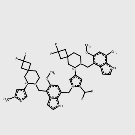 COc1cc(C)c2[nH]ccc2c1CN1CCC2(C[C@@H]1c1cn(C(F)F)[n+](Cc3cc(OC)c(CN4CCC5(C[C@@H]4c4cnn(C)c4)CC(F)(F)C5)c4cc[nH]c34)c1)CC(F)(F)C2